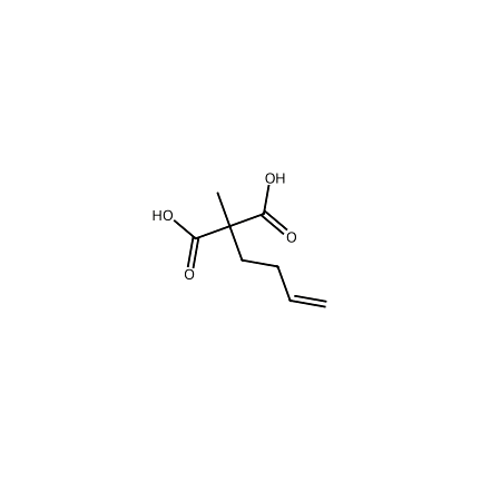 C=CCCC(C)(C(=O)O)C(=O)O